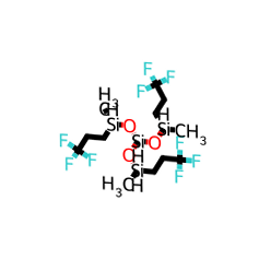 C[SiH](CCC(F)(F)F)O[SiH](O[SiH](C)CCC(F)(F)F)O[SiH](C)CCC(F)(F)F